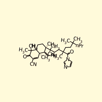 CCCC(C)(C)CC[C@@](C)(CCC(C)(C)[C@]1(C)CC[C@H]2C(C)(C)C(=O)C(C#N)=C[C@]2(C)/C1=C/C(C)=O)C(=O)n1ccnc1